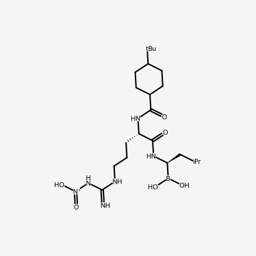 CC(C)C[C@H](NC(=O)[C@H](CCCNC(=N)N[N+](=O)O)NC(=O)C1CCC(C(C)(C)C)CC1)B(O)O